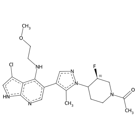 COCCNc1c(-c2cnn(C3CCN(C(C)=O)C[C@@H]3F)c2C)cnc2[nH]cc(Cl)c12